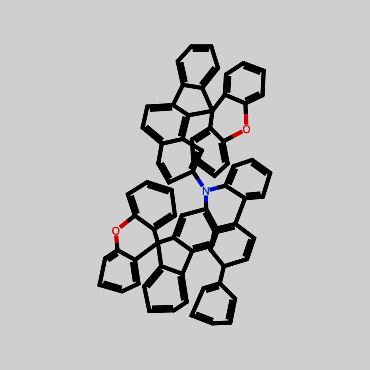 C1=CC(c2ccccc2)CC=C1c1ccccc1N(c1ccc2c(c1)C1(c3ccccc3Oc3ccccc31)c1ccccc1-2)c1ccc2ccc3c(c2c1)C1(c2ccccc2Oc2ccccc21)c1ccccc1-3